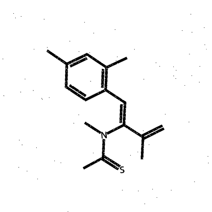 C=C(C)/C(=C/c1ccc(C)cc1C)N(C)C(C)=S